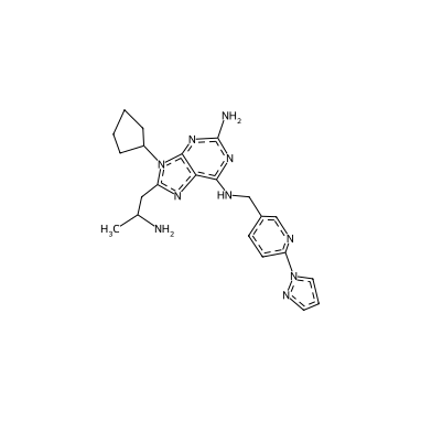 CC(N)Cc1nc2c(NCc3ccc(-n4cccn4)nc3)nc(N)nc2n1C1CCCC1